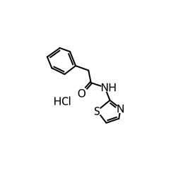 Cl.O=C(Cc1ccccc1)Nc1nccs1